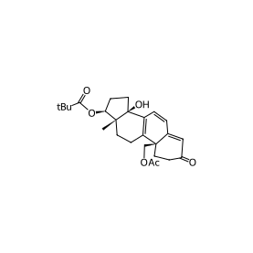 CC(=O)OC[C@]12CCC(=O)C=C1C=CC1=C2CC[C@]2(C)[C@@H](OC(=O)C(C)(C)C)CC[C@]12O